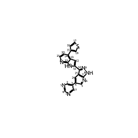 c1ncc(-c2cnc3[nH]nc(-c4cc5c(-c6ccsc6)ccnc5[nH]4)c3c2)cn1